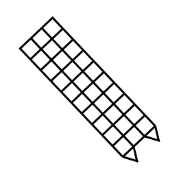 C1C2C3CC4C5C6C7C8C9C%10C%11C%12C%13CC%13%14C%13%15CC%13C%13C%16C%17C%18C%19C%20C%21C%22C1C21C34C52C%221C%211C62C72C%201C%191C%183C%174C%165C%13%15C%12%14C%115C%104C93C821